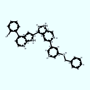 Fc1ccccc1-c1ccnc2[nH]c(-c3n[nH]c4cnc(-c5cncc(OCc6ccccc6)c5)cc34)cc12